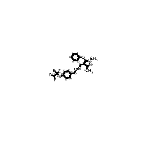 Cc1nn(C)c(Oc2ccccc2)c1C=NOCc1ccc(SC(F)(F)C(F)F)cc1